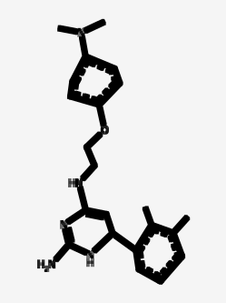 Cc1cccc(C2C=C(NCCOc3ccc(N(C)C)cc3)N=C(N)N2)c1C